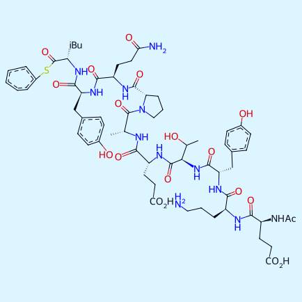 CCC(C)[C@H](NC(=O)[C@H](Cc1ccc(O)cc1)NC(=O)[C@@H](CCC(N)=O)NC(=O)[C@@H]1CCCN1C(=O)[C@@H](C)NC(=O)[C@@H](CCC(=O)O)NC(=O)[C@H](NC(=O)[C@H](Cc1ccc(O)cc1)NC(=O)[C@H](CCCN)NC(=O)[C@H](CCC(=O)O)NC(C)=O)C(C)O)C(=O)Sc1ccccc1